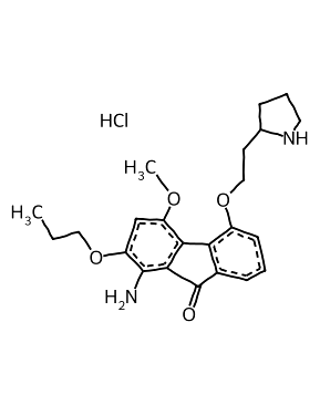 CCCOc1cc(OC)c2c(c1N)C(=O)c1cccc(OCCC3CCCN3)c1-2.Cl